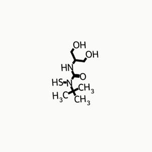 CC(C)(C)N(S)C(=O)NC(CO)CO